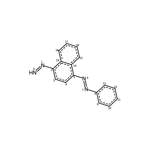 N=Nc1ccc(/N=N/c2ccccc2)c2ccccc12